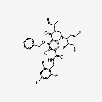 C=CC(C)N1CN(C(C=CF)C(F)CF)n2cc(C(=O)NCc3c(F)cc(F)cc3F)c(=O)c(OCc3ccccc3)c2C1=O